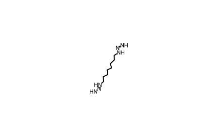 N=NNCCCCCCCCNN=N